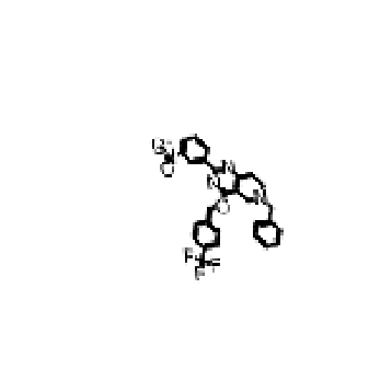 O=[N+]([O-])c1cccc(-c2nc3c(c(OCc4ccc(C(F)(F)F)cc4)n2)CN(Cc2ccccc2)CC3)c1